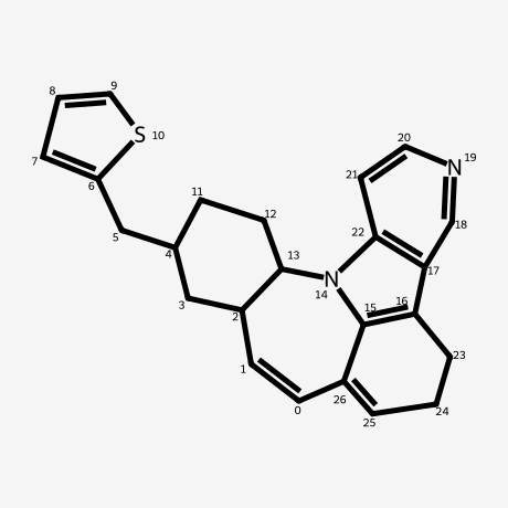 C1=CC2CC(Cc3cccs3)CCC2n2c3c(c4cnccc42)CCC=C13